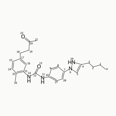 CCCCc1cn(-c2ccc(NC(=O)Nc3cc(CCC(C)=O)ccc3C)cc2)[nH]1